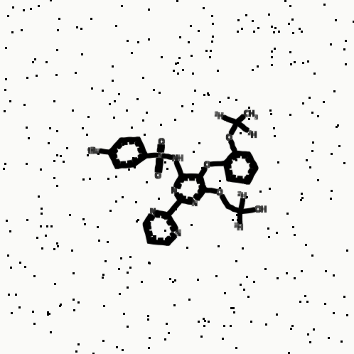 [2H]C([2H])(O)COc1nc(-c2ncccn2)nc(NS(=O)(=O)c2ccc(C(C)(C)C)cc2)c1Oc1ccccc1OC([2H])([2H])C